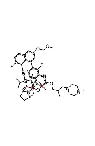 COCOc1cc(-c2ncc3c(N4CC5CCC(C4)N5C(=O)OC(C)(C)C)nc(OC[C@H](C)CN4CCNCC4)nc3c2F)c2c(C#C[Si](C(C)C)(C(C)C)C(C)C)c(F)ccc2c1